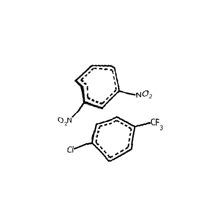 FC(F)(F)c1ccc(Cl)cc1.O=[N+]([O-])c1cccc([N+](=O)[O-])c1